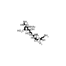 BCCC(C)(S)OCC(C)(C)NC(=N)NC[C@@H](O)[C@@H](O)[C@@H]1OC(C(=O)O)=C[C@H](NC(=N)N)[C@H]1NC(C)=O